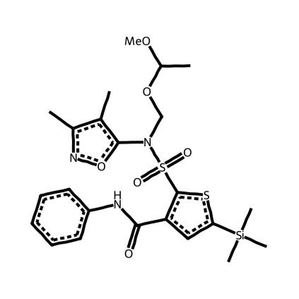 COC(C)OCN(c1onc(C)c1C)S(=O)(=O)c1sc([Si](C)(C)C)cc1C(=O)Nc1ccccc1